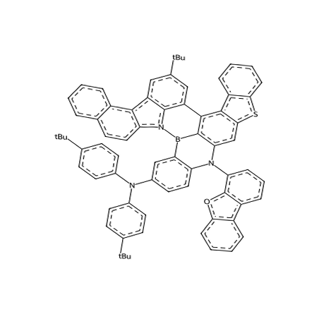 CC(C)(C)c1ccc(N(c2ccc(C(C)(C)C)cc2)c2ccc3c(c2)B2c4c(cc5sc6ccccc6c5c4-c4cc(C(C)(C)C)cc5c6c7ccccc7ccc6n2c45)N3c2cccc3c2oc2ccccc23)cc1